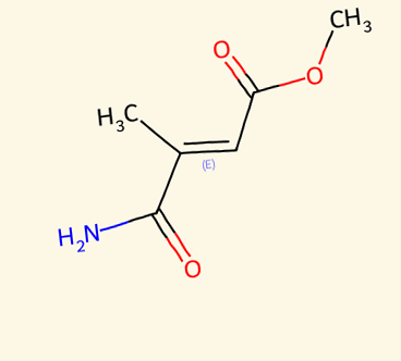 COC(=O)/C=C(\C)C(N)=O